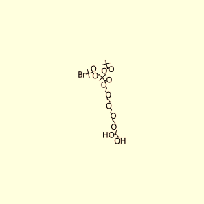 CC(C)(C)C(=O)OCC(C)(COC(=O)C(C)(C)Br)C(=O)OCCOCCOCCOCCOCC(O)CO